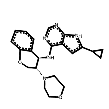 c1ccc2c(c1)OC[C@@H](N1CCOCC1)[C@@H]2Nc1ncnc2[nH]c(C3CC3)cc12